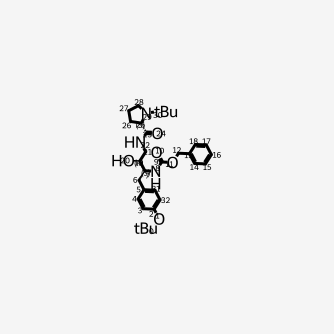 CC(C)(C)Oc1ccc(C[C@H](NC(=O)OCc2ccccc2)[C@H](O)CNC(=O)[C@@H]2CCCN2C(C)(C)C)cc1